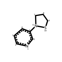 [c]1ncccc1N1CCCS1